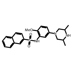 COc1ccc(N2CC(C)NC(C)C2)cc1NS(=O)(=O)c1ccc2ccccc2c1